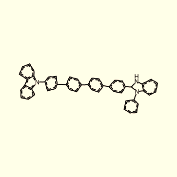 c1ccc(N2c3ccccc3NC2c2ccc(-c3ccc(-c4ccc(-c5ccc(-n6c7ccccc7c7ccccc76)cc5)cc4)cc3)cc2)cc1